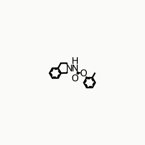 Cc1ccccc1OC(=O)NN1CCc2ccccc2C1